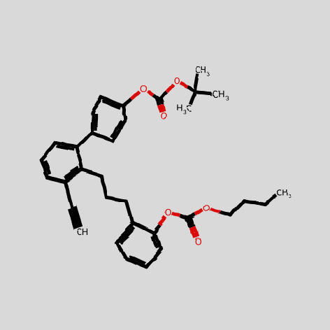 C#Cc1cccc(-c2ccc(OC(=O)OC(C)(C)C)cc2)c1CCCc1ccccc1OC(=O)OCCCC